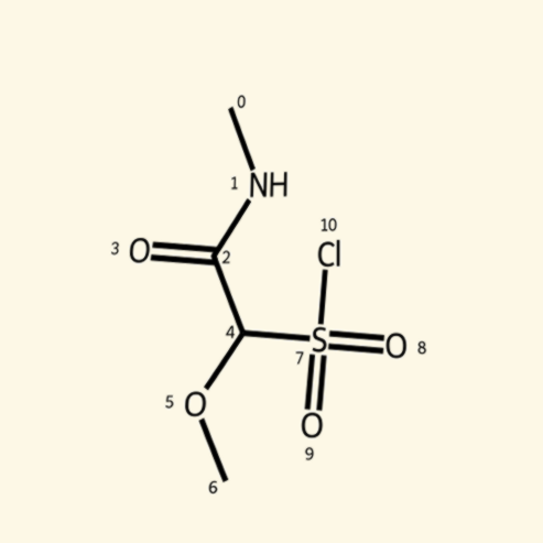 CNC(=O)C(OC)S(=O)(=O)Cl